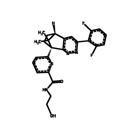 CC1(C)[C@@H]2CC[C@]1(c1cccc(C(=O)NCCO)n1)c1nnc(-c3c(F)cccc3F)cc12